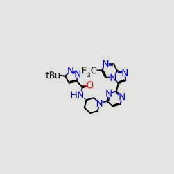 CC(C)(C)C1C=C(C(=O)N[C@H]2CCCN(c3ccnc(-c4cnc5cnc(C(F)(F)F)cn45)n3)C2)N=N1